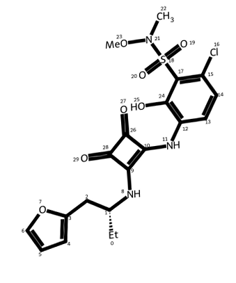 CC[C@H](Cc1ccco1)Nc1c(Nc2ccc(Cl)c(S(=O)(=O)N(C)OC)c2O)c(=O)c1=O